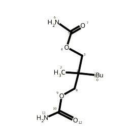 CCC(C)C(C)(COC(N)=O)COC(N)=O